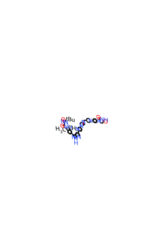 Cc1cc(-c2n[nH]c3ncc(-c4ccc(N5CC6CC5CN6CC5CCN(c6ccc(N7CCC(=O)NC7=O)cc6)CC5)cn4)cc23)ccc1C(C)NC(=O)c1noc(C(C)(C)C)n1